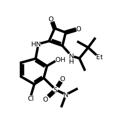 CCC(C)(C)C(C)Nc1c(Nc2ccc(Cl)c(S(=O)(=O)N(C)C)c2O)c(=O)c1=O